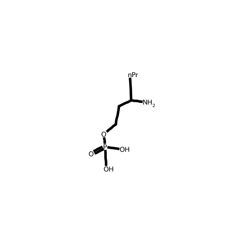 CCCC(N)CCOP(=O)(O)O